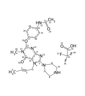 CC#CCn1c(N2CCNCC2)nc2nc(Oc3ccc(NC(C)=O)cc3)n(C)c(=O)c21.O=C(O)C(F)(F)F